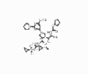 C=C[C@@H]1C[C@]1(NC(=O)[C@@H]1CN(c2cc(OC)nc(N3CCCCC3)n2)CN1C(=O)[C@@H](NC(=O)OC1CCCC1)C(C)(C)C)C(=O)NS(=O)(=O)C1CC1